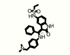 CCS(=O)(=O)Nc1ccc2c(c1)/C(=C(/Nc1ccc(CN(C)C)cc1)c1ccccc1)C(=O)N2